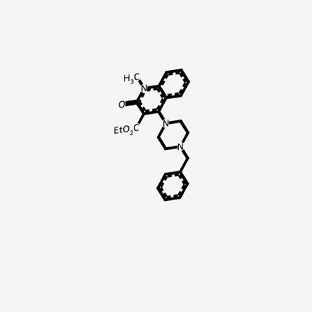 CCOC(=O)c1c(N2CCN(Cc3ccccc3)CC2)c2ccccc2n(C)c1=O